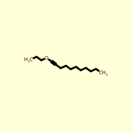 CC[CH]OC#CCCCCCCCCC